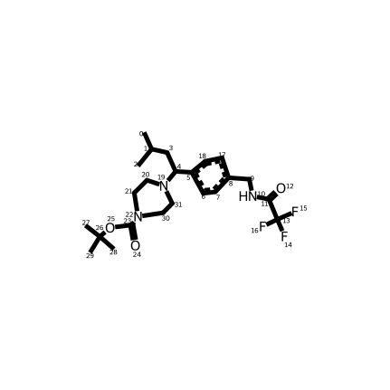 CC(C)CC(c1ccc(CNC(=O)C(F)(F)F)cc1)N1CCN(C(=O)OC(C)(C)C)CC1